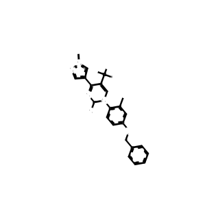 Cc1cc(SCc2ccccc2)ccc1N1C=C(C(F)(F)F)C(c2cnn(C)c2)=NC1N